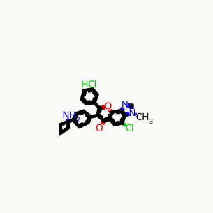 Cl.Cn1cnc2c3oc(-c4ccccc4)c(-c4ccc(C5(N)CCC5)cc4)c(=O)c3cc(Cl)c21